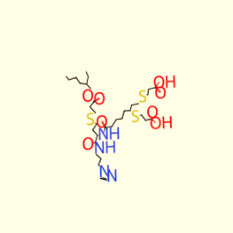 CCCCC(CC)COC(=O)CCSCCC(NC(=O)CCCCC(CCSCCC(=O)O)SCCC(=O)O)C(=O)NCCCn1ccnc1